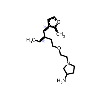 C=c1occ/c1=C/C(=C\C)CCOCCN1CCC(N)C1